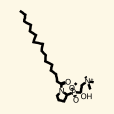 CCCCCCCCCCCCCCCC(=O)N1CCCC1P(=O)(OC)C(O)C[N+](C)(C)C